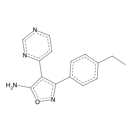 CCc1ccc(-c2noc(N)c2-c2ccncn2)cc1